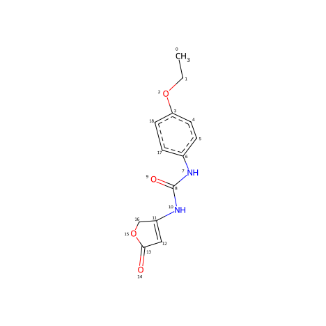 CCOc1ccc(NC(=O)NC2=CC(=O)OC2)cc1